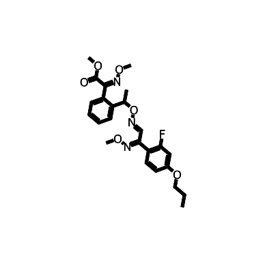 CCCOc1ccc(C(C=NOC(C)c2ccccc2C(=NOC)C(=O)OC)=NOC)c(F)c1